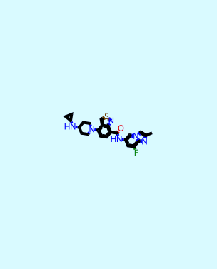 Cc1cn2cc(NC(=O)c3ccc(N4CCC(NC5CC5)CC4)c4csnc34)cc(F)c2n1